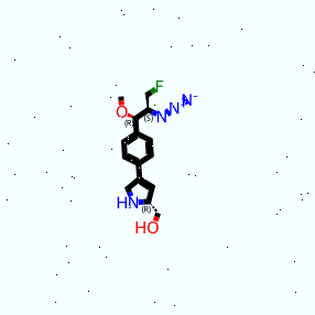 CO[C@H](c1ccc(C2=C[C@H](CO)NC2)cc1)[C@@H](CF)N=[N+]=[N-]